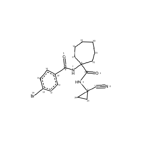 N#CC1(NC(=O)C2(NC(=O)c3ccc(Br)cc3)CCCCCC2)CC1